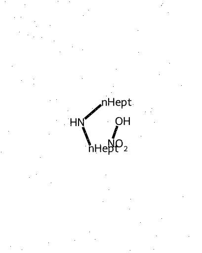 CCCCCCCNCCCCCCC.O=[N+]([O-])O